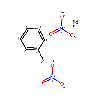 Cc1ccccc1.O=[N+]([O-])[O-].O=[N+]([O-])[O-].[Pd+2]